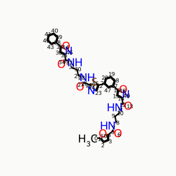 Cc1ccc(C(=O)NCCCNC(=O)c2cc(-c3cccc(-c4cnc(C(=O)NCCCNC(=O)c5cc(-c6ccccc6)on5)s4)c3)on2)o1